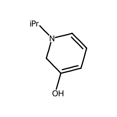 CC(C)N1C=CC=C(O)C1